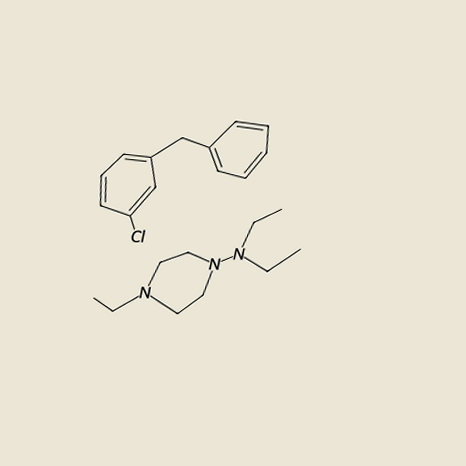 CCN1CCN(N(CC)CC)CC1.Clc1cccc(Cc2ccccc2)c1